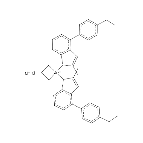 CCc1ccc(-c2cccc3c2C=C(C)[CH]3[Zr+2]2([CH]3C(C)=Cc4c(-c5ccc(CC)cc5)cccc43)[CH2]C[CH2]2)cc1.[Cl-].[Cl-]